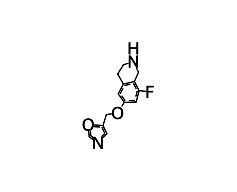 Fc1cc(OCc2cnco2)cc2c1CNCC2